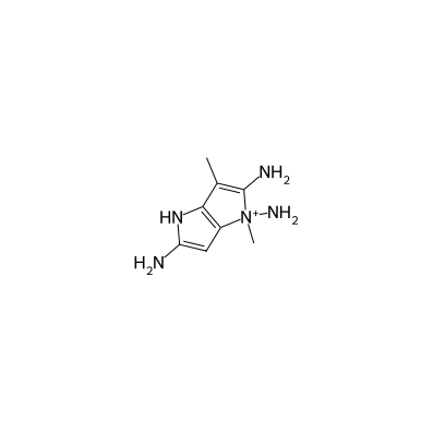 CC1=C(N)[N+](C)(N)c2cc(N)[nH]c21